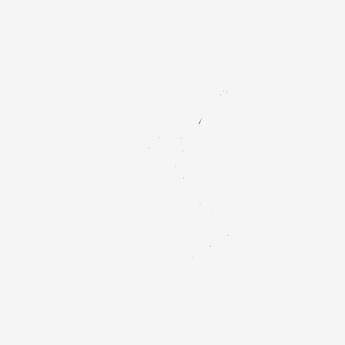 CCc1cc2c(N3CCN(C(=O)CC(F)(F)F)CC3)nc(OC[C@H]3CONC3=O)nc2s1